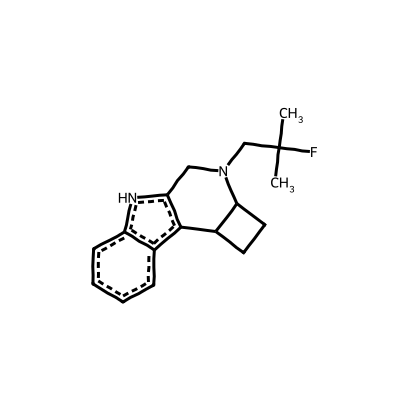 CC(C)(F)CN1Cc2[nH]c3ccccc3c2C2CCC21